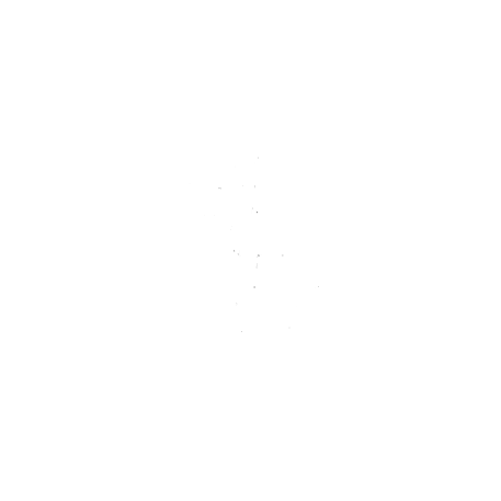 CC(C)C1(C)SC(N[C@H](C)c2ccccc2F)=NC1=O